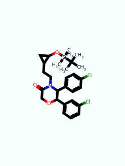 CC(C)(C)[Si](C)(C)OC1CC1CCN1C(=O)COC(c2cccc(Cl)c2)C1c1ccc(Cl)cc1